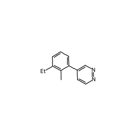 CCc1cccc(-c2ccnnc2)c1C